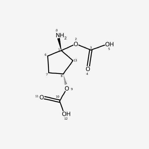 N[C@]1(OC(=O)O)CC[C@@H](OC(=O)O)C1